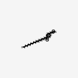 CCCCCCCCCCCCCCCCCC(=O)N1CCC(CCOC)CC1